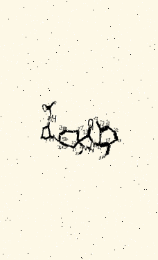 CC(=O)NC1CCCC1N1CCC(C(=O)Nc2c(C)cccc2C)(N(C)C)CC1